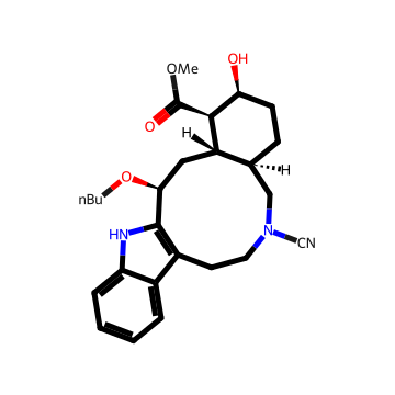 CCCCO[C@H]1C[C@H]2[C@@H](CC[C@H](O)[C@@H]2C(=O)OC)CN(C#N)CCc2c1[nH]c1ccccc21